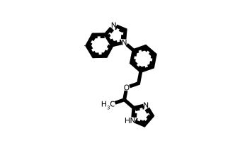 CC(OCc1cccc(-n2cnc3c[c]ccc32)c1)c1ncc[nH]1